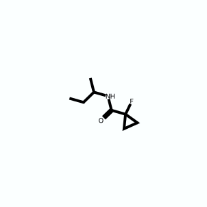 CCC(C)NC(=O)C1(F)CC1